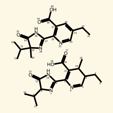 CCC1C=NC(C2=NC(C(C)C)C(=O)N2)=C(C(=O)O)C1C.CCc1cnc(C2=NC(C)(C(C)C)C(=O)N2)c(C(=O)O)c1